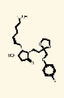 O=C(O)CCC/C=C\C[C@H]1[C@@H](O)CC(=O)[C@@H]1CCC1(COc2ccc(F)cc2)OCCO1